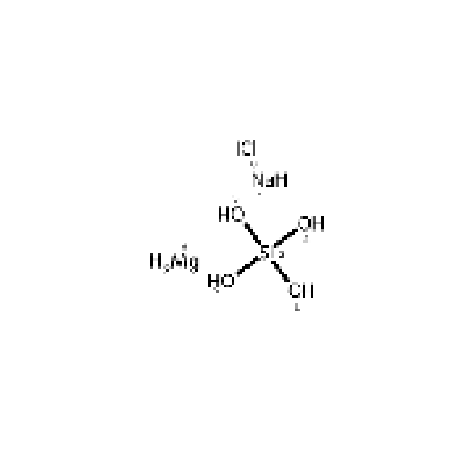 Cl.O[Si](O)(O)O.[MgH2].[NaH]